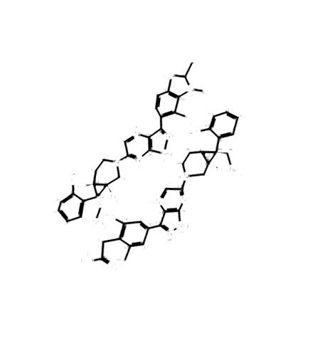 CC1Nc2ccc(-c3n[nH]c4nc(N5CC[C@@H]6[C@H](C5)[C@@]6(CN)c5ccccc5F)cnc34)c(Cl)c2N1C.NC[C@]1(c2ccccc2F)[C@@H]2CCN(c3cnc4c(-c5cc(F)c(CC(=O)O)c(F)c5)n[nH]c4n3)C[C@@H]21